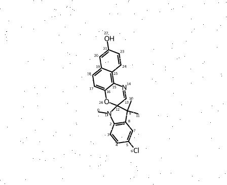 CN1c2ccc(Cl)cc2C(C)(C)C12C=Nc1c(ccc3cc(O)ccc13)O2